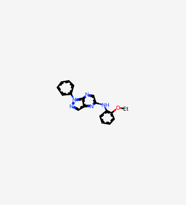 CCOc1ccccc1Nc1cnc2c(cnn2-c2ccccc2)n1